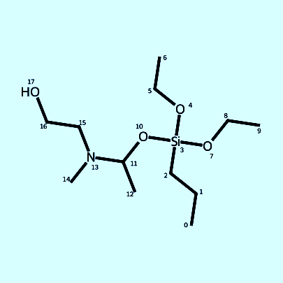 CCC[Si](OCC)(OCC)OC(C)N(C)CCO